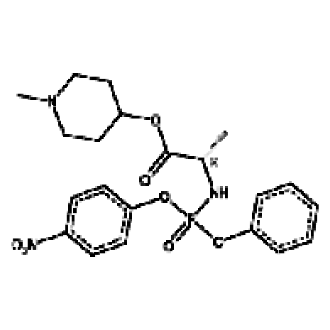 C[C@H](NP(=O)(Oc1ccccc1)Oc1ccc([N+](=O)[O-])cc1)C(=O)OC1CCN(C)CC1